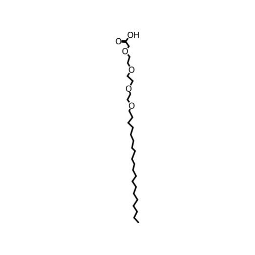 CCCCCCCCCCCCCCCCCCCCOCCOCCOCCOCC(=O)O